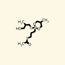 CC(=O)SCCC[Si]1(OCC(C)CO)OCC(C)CO1